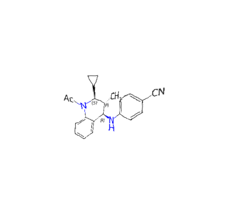 CC(=O)N1c2ccccc2[C@H](Nc2ccc(C#N)cc2)[C@@H](C)[C@@H]1C1CC1